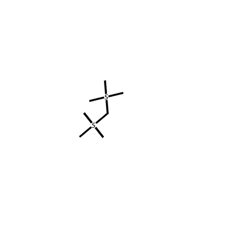 CS(C)(C)CS(C)(C)C